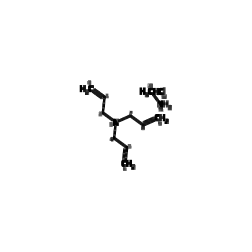 C=CCN(CC=C)CC=C.CN.Cl